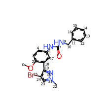 COc1ccc(NC(=O)NCc2ccccc2)cc1-c1nn(C)cc1Br